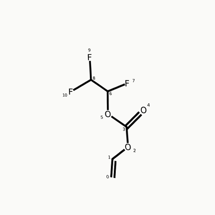 C=COC(=O)OC(F)C(F)F